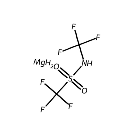 O=S(=O)(NC(F)(F)F)C(F)(F)F.[MgH2]